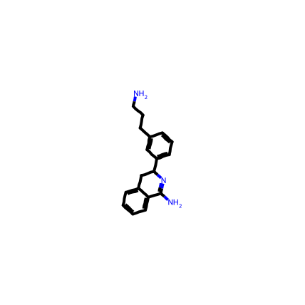 NCCCc1cccc(C2Cc3ccccc3C(N)=N2)c1